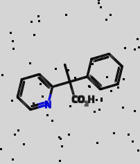 CC(C(=O)O)(c1ccccc1)c1ccccn1